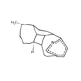 C[C@H]1CC[C@@H]2C3Cc4ccc(nc4)C4C3C2C41